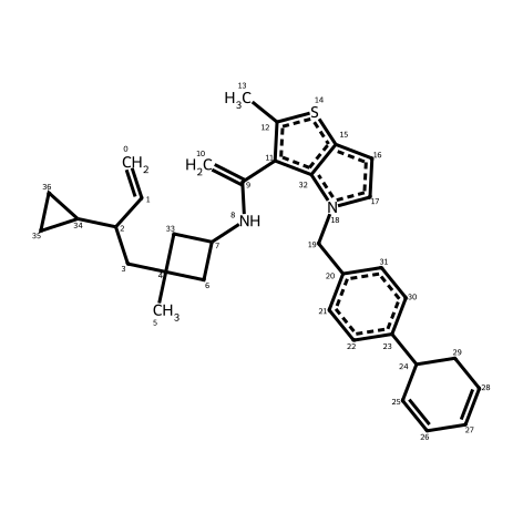 C=CC(CC1(C)CC(NC(=C)c2c(C)sc3ccn(Cc4ccc(C5C=CC=CC5)cc4)c23)C1)C1CC1